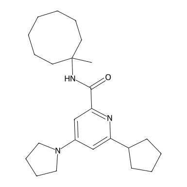 CC1(NC(=O)c2cc(N3CCCC3)cc(C3CCCC3)n2)CCCCCCC1